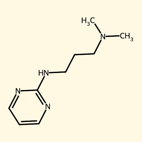 CN(C)CCCNc1ncccn1